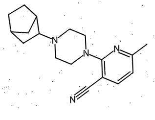 Cc1ccc(C#N)c(N2CCN(C3CC4CCC3C4)CC2)n1